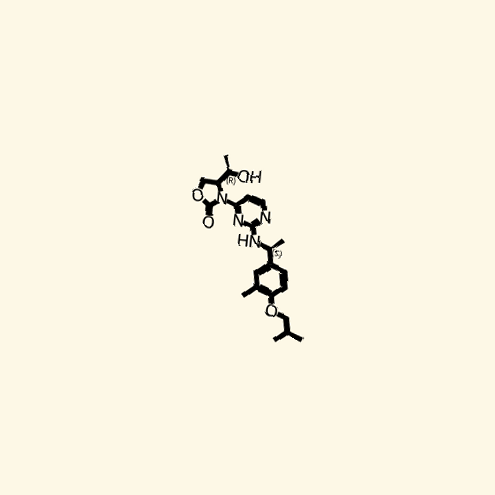 Cc1cc([C@H](C)Nc2nccc(N3C(=O)OCC3[C@@H](C)O)n2)ccc1OCC(C)C